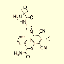 N#Cc1c(SC(C(N)=O)c2ccccc2)nc(N2CC(NC(=O)C3(N)COC3)C2)c(C#N)c1C1CC1